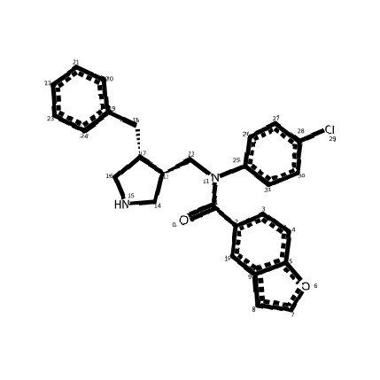 O=C(c1ccc2occc2c1)N(C[C@H]1CNC[C@@H]1Cc1ccccc1)c1ccc(Cl)cc1